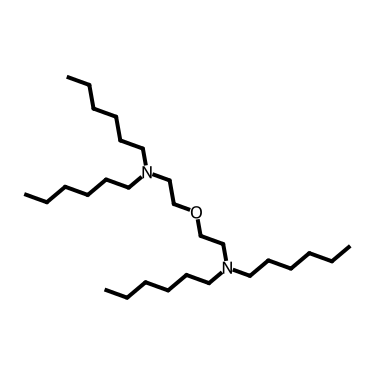 CCCCCCN(CCCCCC)CCOCCN(CCCCCC)CCCCCC